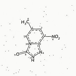 Cc1cc([N+](=O)[O-])c2n[nH]c(=O)n2c1